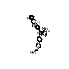 Nc1ncnc2c1c(-c1ccc3[nH]c(Cc4c(F)cccc4F)nc3c1)nn2[C@H]1CC[C@H](N2CCN(CCO)CC2)CC1